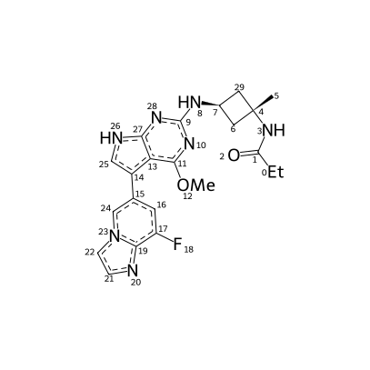 CCC(=O)N[C@]1(C)C[C@@H](Nc2nc(OC)c3c(-c4cc(F)c5nccn5c4)c[nH]c3n2)C1